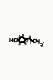 [CH2]C=CC1C=CC(O)=CC1